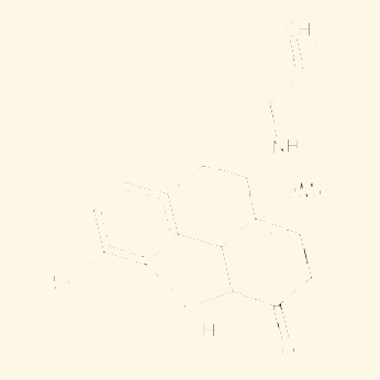 C=CCN[C@H]1Cc2ccc(O)c3c2C2[C@H](O3)C(=O)CC[C@@]21OC